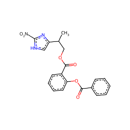 CC(COC(=O)c1ccccc1OC(=O)c1ccccc1)c1c[nH]c([N+](=O)[O-])n1